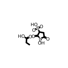 CCC(=O)O.O=C1CC(S(=O)(=O)O)C(=O)N1O